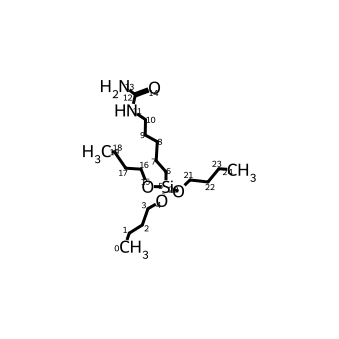 CCCCO[Si](CCCCCNC(N)=O)(OCCCC)OCCCC